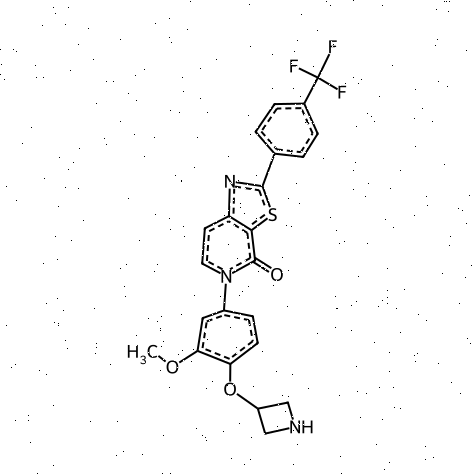 COc1cc(-n2ccc3nc(-c4ccc(C(F)(F)F)cc4)sc3c2=O)ccc1OC1CNC1